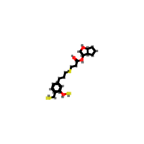 O=C(CCSCCCc1ccc(CS)c(OS)c1)OC1COC2CCCC21